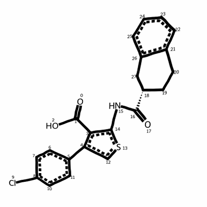 O=C(O)c1c(-c2ccc(Cl)cc2)csc1NC(=O)[C@H]1CCc2ccccc2C1